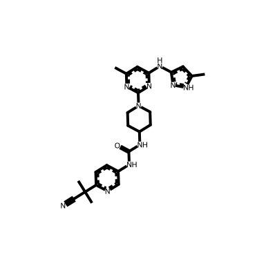 Cc1cc(Nc2cc(C)[nH]n2)nc(N2CCC(NC(=O)Nc3ccc(C(C)(C)C#N)nc3)CC2)n1